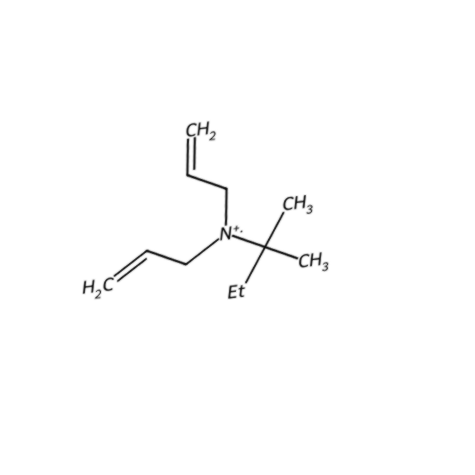 C=CC[N+](CC=C)C(C)(C)CC